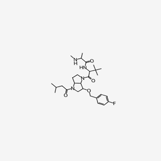 CNC(C)C(=O)NC(C(=O)N1CCC2C1C(OCc1ccc(F)cc1)CN2C(=O)CC(C)C)C(C)(C)C